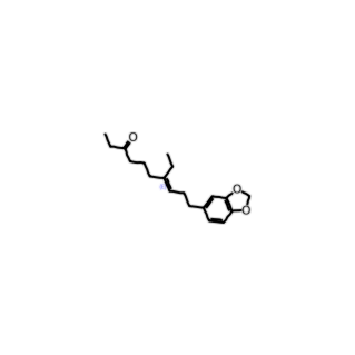 CCC(=O)CCC/C(=C/CCc1ccc2c(c1)OCO2)CC